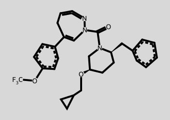 O=C(N1C=C(c2ccc(OC(F)(F)F)cc2)CC=C=N1)N1C[C@H](OCC2CC2)CC[C@@H]1Cc1ccccc1